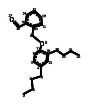 CCCCc1ccc(OCc2ccccc2C=O)c(CCCC)c1